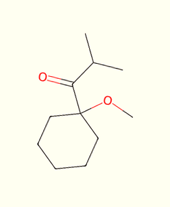 COC1(C(=O)C(C)C)CCCCC1